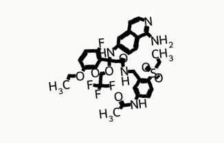 CCOc1ccc(F)c(C(Nc2ccc3c(N)nccc3c2)(OC(=O)C(F)(F)F)C(=O)NCc2cc(NC(C)=O)ccc2S(=O)(=O)CC)c1